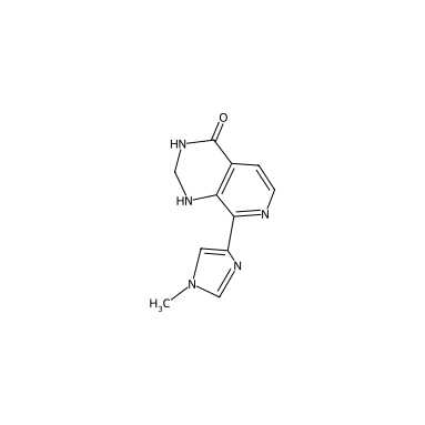 Cn1cnc(-c2nccc3c2NCNC3=O)c1